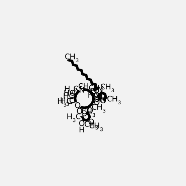 CCCCCCCCCCCCCC(=O)N(C)[C@H]1C[C@@H](C)O[C@@H](O[C@@H]2[C@@H](C)[C@H](O[C@@H]3C[C@@](C)(OC)[C@@H](O)[C@H](C)O3)[C@@H](C)C(=O)O[C@H](CC)[C@@](C)(O)[C@H](O)[C@@H](C)N(C)C[C@H](C)C[C@@]2(C)O)[C@@H]1O